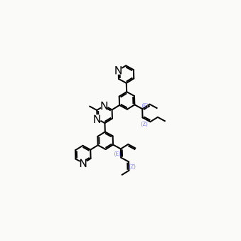 C=C/C(=C\C=C/C)c1cc(-c2cccnc2)cc(-c2cc(-c3cc(C(/C=C\CC)=C/C)cc(-c4cccnc4)c3)nc(C)n2)c1